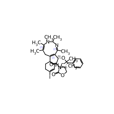 CC1=N/C(C)N(C)/C(C)=C(/C)C/C(C2=CC=C(I)CC2)=C\1[C@H](OC(C)(C)C)C(=O)N1C(=O)OC[C@H]1Cc1ccccc1